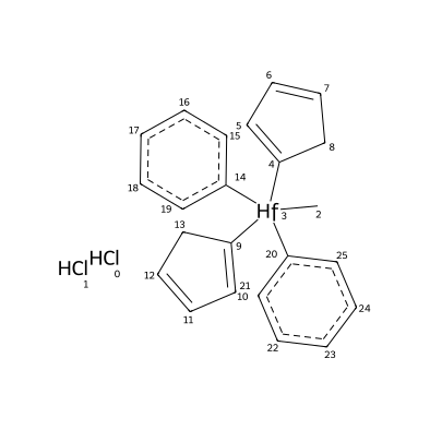 Cl.Cl.[CH3][Hf]([C]1=CC=CC1)([C]1=CC=CC1)([c]1ccccc1)[c]1ccccc1